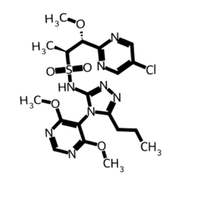 CCCc1nnc(NS(=O)(=O)[C@@H](C)[C@H](OC)c2ncc(Cl)cn2)n1-c1c(OC)ncnc1OC